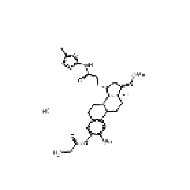 CO/N=C1\C[C@@H](CCC(=O)Nc2ncc(C)s2)C2C3CCc4cc(OC(=O)CN)c(C(C)(C)C)cc4C3CC[C@]12C.Cl